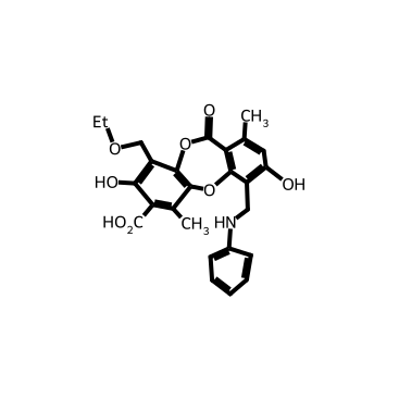 CCOCc1c(O)c(C(=O)O)c(C)c2c1OC(=O)c1c(C)cc(O)c(CNc3ccccc3)c1O2